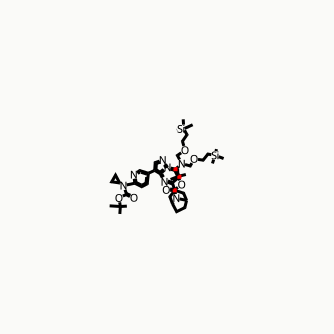 CC(C)(C)OC(=O)N(c1ccc(-c2cnn3c(N(COCC[Si](C)(C)C)COCC[Si](C)(C)C)cc(C4CC5CCC(C4)N5C(=O)OC(C)(C)C)nc23)cn1)C1CC1